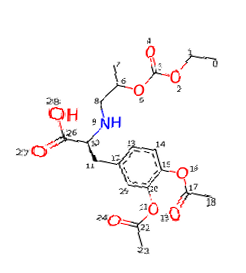 CCOC(=O)OC(C)CN[C@@H](Cc1ccc(OC(C)=O)c(OC(C)=O)c1)C(=O)O